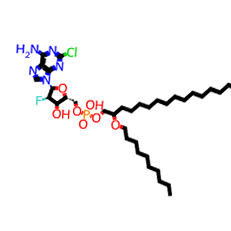 CCCCCCCCCCCCCCC(COP(=O)(O)OC[C@H]1O[C@@H](n2cnc3c(N)nc(Cl)nc32)[C@H](F)C1O)OCCCCCCCCCC